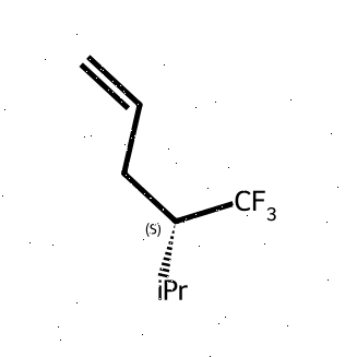 C=CC[C@@H](C(C)C)C(F)(F)F